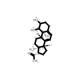 CC(=O)[C@H]1CC[C@H]2C3=CC=C4CCC(O)C(O)[C@]4(C)[C@H]3CC[C@]12C